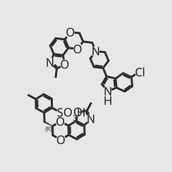 Cc1ccc(S(=O)(=O)O)c(C[C@@H]2COc3ccc4nc(C)oc4c3O2)c1.Cc1nc2ccc3c(c2o1)OC(CN1CC=C(c2c[nH]c4ccc(Cl)cc24)CC1)CO3